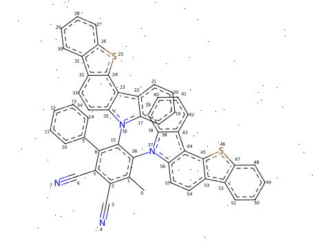 Cc1c(C#N)c(C#N)c(-c2ccccc2)c(-n2c3ccccc3c3c4sc5ccccc5c4ccc32)c1-n1c2ccccc2c2c3sc4ccccc4c3ccc21